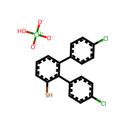 Sc1cccc(-c2ccc(Cl)cc2)c1-c1ccc(Cl)cc1.[O-][Cl+3]([O-])([O-])O